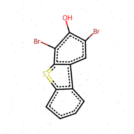 Oc1c(Br)cc2c(sc3ccccc32)c1Br